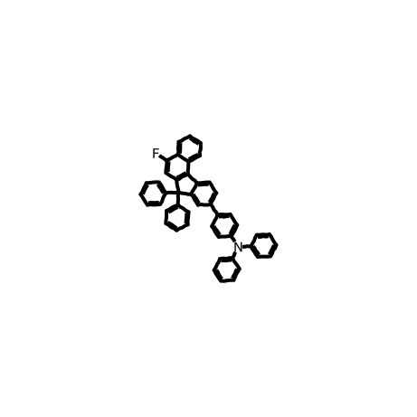 Fc1cc2c(c3ccccc13)-c1ccc(-c3ccc(N(c4ccccc4)c4ccccc4)cc3)cc1C2(c1ccccc1)c1ccccc1